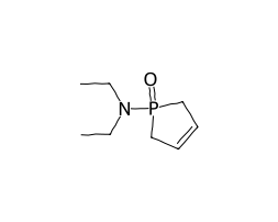 CCN(CC)P1(=O)CC=CC1